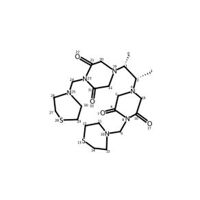 C[C@H]([C@H](C)N1CC(=O)N(CN2CCSCC2)C(=O)C1)N1CC(=O)N(CN2CCSCC2)C(=O)C1